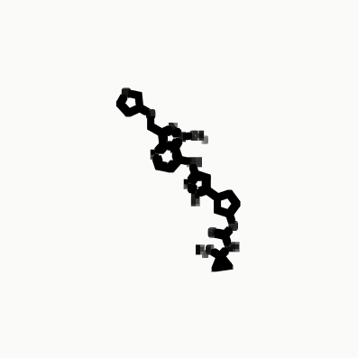 Cn1nc(COC2CCOC2)c2nccc(Nc3cc(C4CCC(OC(=O)NC5(C)CC5)C4)[nH]n3)c21